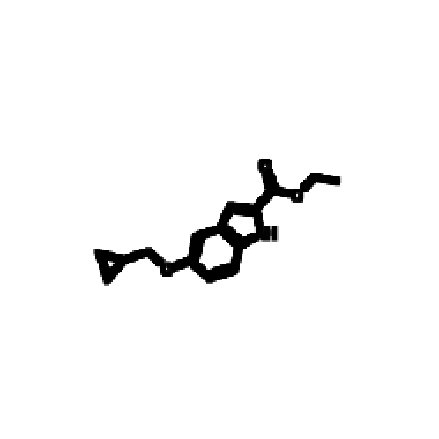 CCOC(=O)c1cc2cc(OCC3CC3)ccc2[nH]1